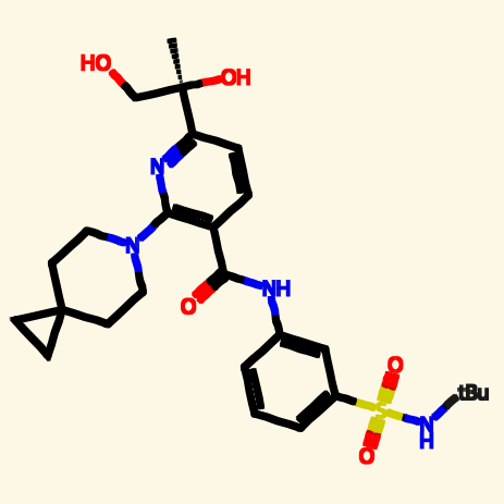 CC(C)(C)NS(=O)(=O)c1cccc(NC(=O)c2ccc([C@](C)(O)CO)nc2N2CCC3(CC2)CC3)c1